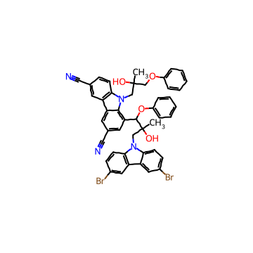 CC(O)(COc1ccccc1)Cn1c2ccc(C#N)cc2c2cc(C#N)cc(C(Oc3ccccc3)C(C)(O)Cn3c4ccc(Br)cc4c4cc(Br)ccc43)c21